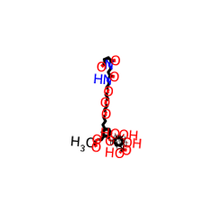 CC(=O)OCc1cc(CCCOCCOCCOCCNC(=O)CCN2C(=O)C=CC2=O)ccc1O[C@@H]1C[C@H](C(=O)O)[C@@H](O)[C@H](O)[C@H]1O